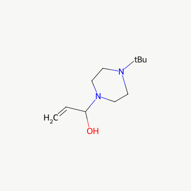 C=CC(O)N1CCN(C(C)(C)C)CC1